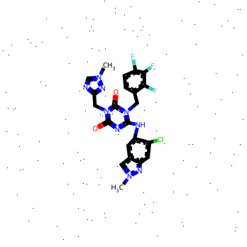 Cn1cnc(Cn2c(=O)nc(Nc3cc4cn(C)nc4cc3Cl)n(Cc3ccc(F)c(F)c3F)c2=O)n1